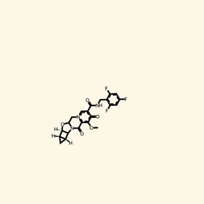 COc1c2n(cc(C(=O)NCc3c(F)cc(F)cc3F)c1=O)CC1O[C@H]3C([C@@H]4C[C@@H]43)N1C2=O